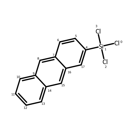 Cl[Si](Cl)(Cl)c1ccc2cc3ccccc3cc2c1